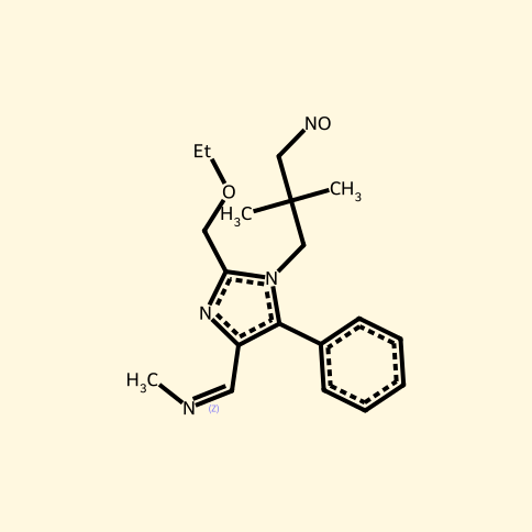 CCOCc1nc(/C=N\C)c(-c2ccccc2)n1CC(C)(C)CN=O